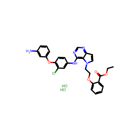 CCOC(=O)c1ccccc1OCCn1ccc2ncnc(Nc3ccc(Oc4cccc(N)c4)c(Cl)c3)c21.Cl.Cl